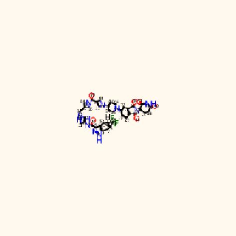 C[C@@]12Cc3[nH]nc(C(=O)Nc4cnn(CC5CN(C(=O)C6CN(C7CCN(c8ccc9c(c8)C(=O)N(C8CCC(=O)NC8=O)C9=O)CC7)C6)C5)c4)c3C[C@@H]1C2(F)F